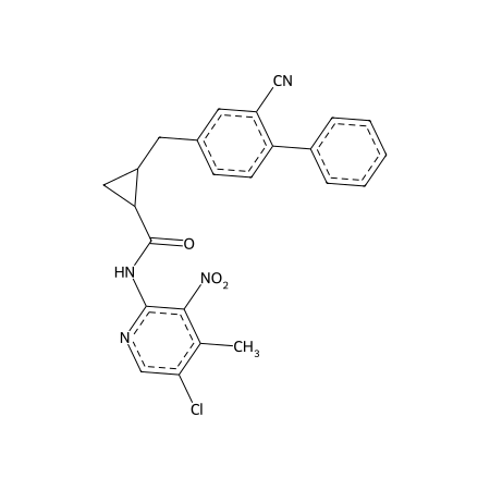 Cc1c(Cl)cnc(NC(=O)C2CC2Cc2ccc(-c3ccccc3)c(C#N)c2)c1[N+](=O)[O-]